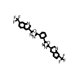 FC(F)(F)c1ccc2cc(-c3nnc(-c4cccc(-c5nnc(-c6cnc7cc(C(F)(F)F)ccc7c6)o5)c4)o3)cnc2c1